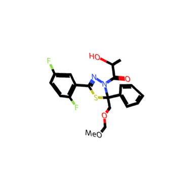 COCOCC1(c2ccccc2)SC(c2cc(F)ccc2F)=NN1C(=O)C(C)O